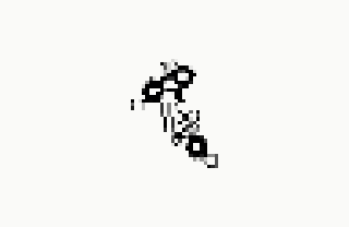 O=C(NCC(F)=C1CCCc2onc(-c3ccc(Cl)cc3)c21)NS(=O)(=O)c1ccc(Cl)cc1